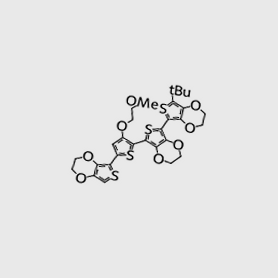 COCCOc1cc(-c2scc3c2OCCO3)sc1-c1sc(-c2sc(C(C)(C)C)c3c2OCCO3)c2c1OCCO2